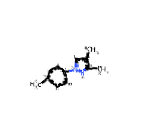 Cc1ccc(-n2cc(C)c(C)n2)cc1